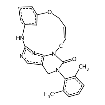 Cc1cccc(C)c1N1Cc2cnc3nc2N(C/C=C\COc2cccc(c2)N3)C1=O